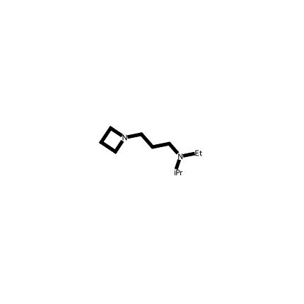 CCN(CCCN1CCC1)C(C)C